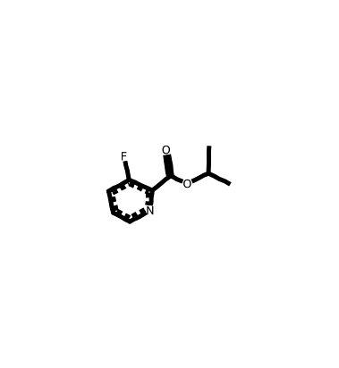 CC(C)OC(=O)c1ncccc1F